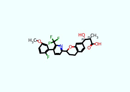 COc1ccc(F)c(-c2ccc(C3CCc4ccc([C@H](O)[C@H](C)C(=O)O)cc4O3)nc2C(F)(F)F)c1